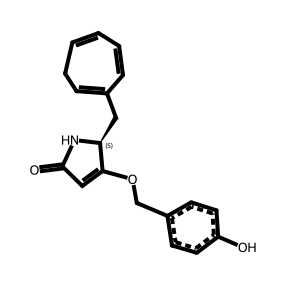 O=C1C=C(OCc2ccc(O)cc2)[C@H](CC2=CCC=CC=C2)N1